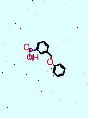 O=[PH](O)c1cccc(COc2ccccc2)c1